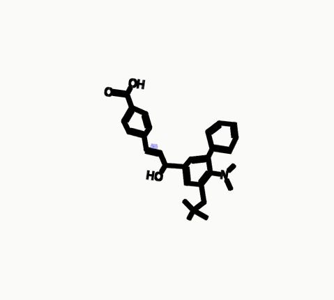 CN(C)c1c(CC(C)(C)C)cc(C(O)/C=C/c2ccc(C(=O)O)cc2)cc1-c1ccccc1